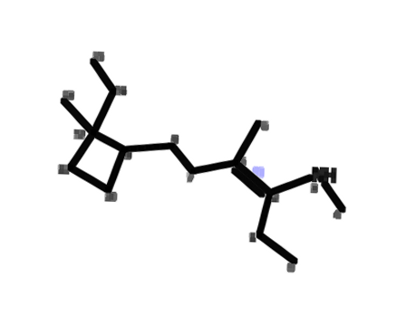 CC/C(NC)=C(/C)CCC1CCC1(C)CC